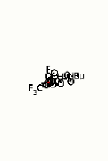 CCC(C)S(=O)(=O)CC[C@@H]1OCC[C@@]2(S(=O)(=O)c3ccc(C(F)(F)F)cc3)c3c(F)ccc(F)c3OC[C@@H]12